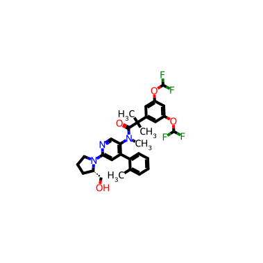 Cc1ccccc1-c1cc(N2CCC[C@H]2CO)ncc1N(C)C(=O)C(C)(C)c1cc(OC(F)F)cc(OC(F)F)c1